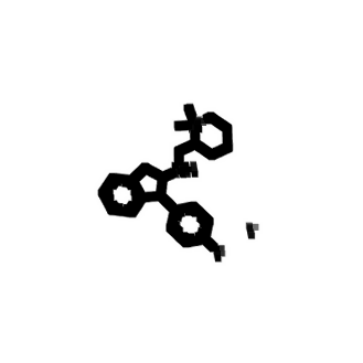 C[N+]1(C)CCCCC1CNC1Cc2ccccc2C1c1ccc(F)cc1.[I-]